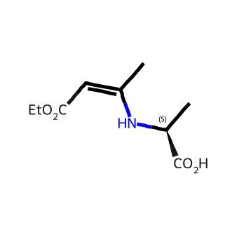 CCOC(=O)C=C(C)N[C@@H](C)C(=O)O